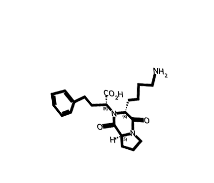 NCCCC[C@@H]1C(=O)N2CCC[C@H]2C(=O)N1[C@H](CCc1ccccc1)C(=O)O